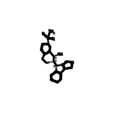 NS(=O)(=O)c1ccc2c(c1)[C@H](O)[C@H]([C@H]1c3ccccc3-c3cncn31)CC2